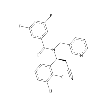 N#CC[C@@H](c1cccc(Cl)c1Cl)N(Cc1cccnc1)C(=O)c1cc(F)cc(F)c1